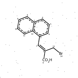 O=C(O)C(=Cc1cccc2ccccc12)CBr